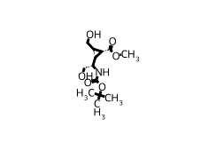 COC(=O)[C@H]1C(CO)[C@H]1[C@@H](CO)NC(=O)OC(C)(C)C